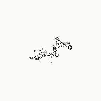 CC(C)C[C@H](NC(=O)[C@@H](NC(=O)CNC(=O)[C@H](C)NC(=O)[C@@H]1CCCN1C(=O)CNC(=O)[C@H](CO)NC(=O)[C@H](CC(=O)O)NC(=O)[C@@H](N)Cc1ccccc1)C(C)C)C(=O)O